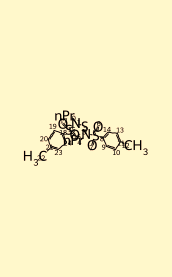 CCCN(SN(CCC)S(=O)(=O)c1ccc(C)cc1)S(=O)(=O)c1ccc(C)cc1